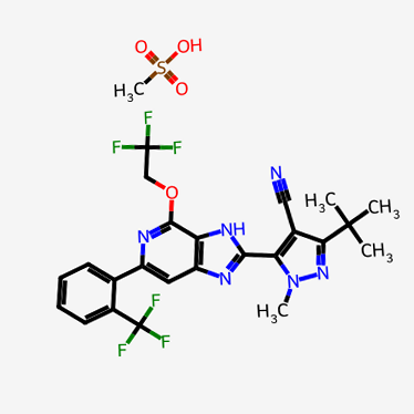 CS(=O)(=O)O.Cn1nc(C(C)(C)C)c(C#N)c1-c1nc2cc(-c3ccccc3C(F)(F)F)nc(OCC(F)(F)F)c2[nH]1